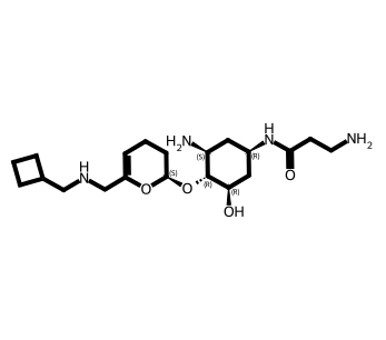 NCCC(=O)N[C@H]1C[C@@H](O)[C@H](O[C@@H]2CCC=C(CNCC3CCC3)O2)[C@@H](N)C1